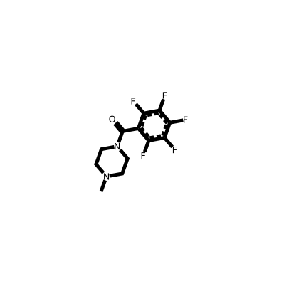 CN1CCN(C(=O)c2c(F)c(F)c(F)c(F)c2F)CC1